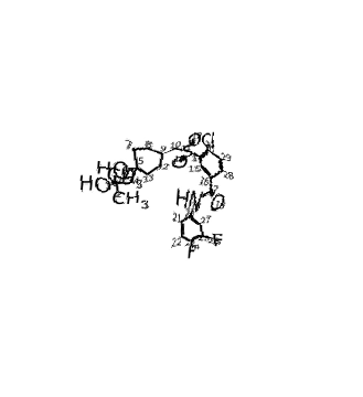 CC(C)(O)C[C@]1(O)CC[C@@H](CS(=O)(=O)c2cc(C(=O)Nc3ccc(F)c(F)c3)ccc2Cl)CC1